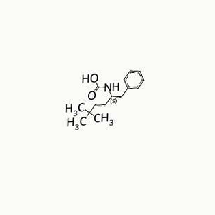 CC(C)(C)C=C[C@H](Cc1ccccc1)NC(=O)O